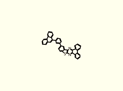 c1cc(-c2ccc3sc4nc5c6ccccc6c6ccccc6c5nc4c3c2)cc(-c2cc3ccccc3c3ccccc23)c1